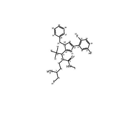 CNC(=O)N(CCC(N)CF)C(c1nc(-c2cc(F)ccc2F)cn1Cc1ccccc1)C(C)(C)C